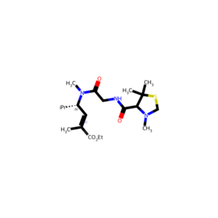 CCOC(=O)/C(C)=C/[C@H](C(C)C)N(C)C(=O)CNC(=O)C1N(C)CSC1(C)C